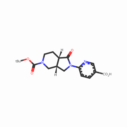 CC(C)(C)OC(=O)N1CC[C@@H]2C(=O)N(c3ccc(C(=O)O)cn3)C[C@@H]2C1